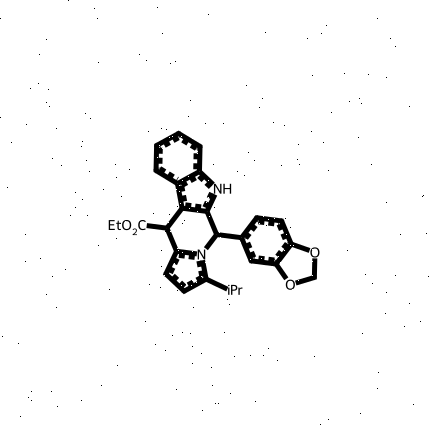 CCOC(=O)C1c2c([nH]c3ccccc23)C(c2ccc3c(c2)OCO3)n2c(C(C)C)ccc21